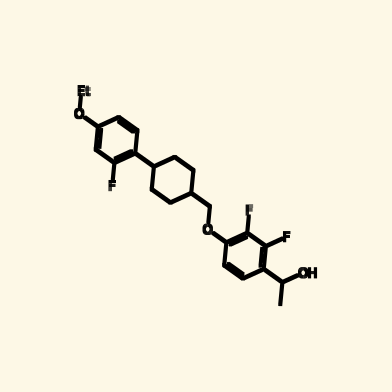 CCOc1ccc(C2CCC(COc3ccc(C(C)O)c(F)c3F)CC2)c(F)c1